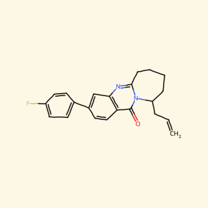 C=CCC1CCCCc2nc3cc(-c4ccc(F)cc4)ccc3c(=O)n21